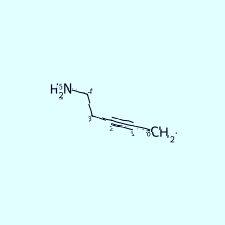 [CH2]C#CCCN